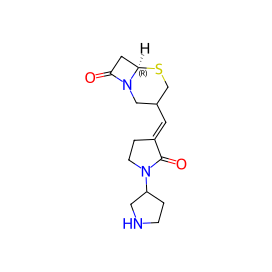 O=C1C(=CC2CS[C@@H]3CC(=O)N3C2)CCN1C1CCNC1